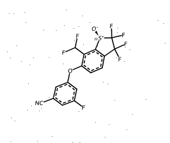 N#Cc1cc(F)cc(Oc2ccc3c(c2C(F)F)[S@@+]([O-])C(F)(F)C3(F)F)c1